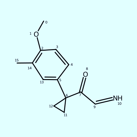 COc1ccc(C2(C(=O)C=N)CC2)cc1C